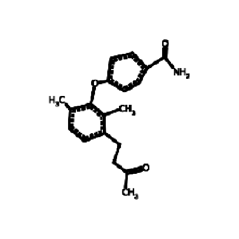 CC(=O)CCc1ccc(C)c(Oc2ccc(C(N)=O)cc2)c1C